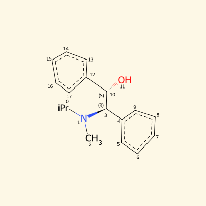 CC(C)N(C)[C@H](c1ccccc1)[C@@H](O)c1ccccc1